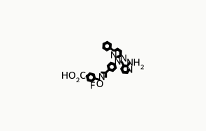 Nc1ncccc1-c1nc2ccc(-c3ccccc3)nc2n1-c1ccc(C2CN(C(=O)c3ccc(C(=O)O)cc3F)C2)cc1